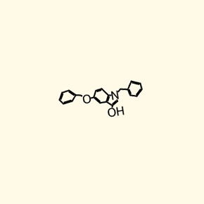 Oc1cn(Cc2ccccc2)c2ccc(OCc3ccccc3)cc12